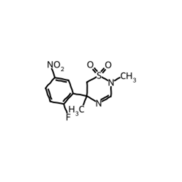 CN1C=NC(C)(c2cc([N+](=O)[O-])ccc2F)CS1(=O)=O